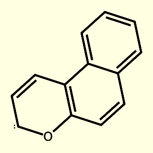 [C]1C=Cc2c(ccc3ccccc23)O1